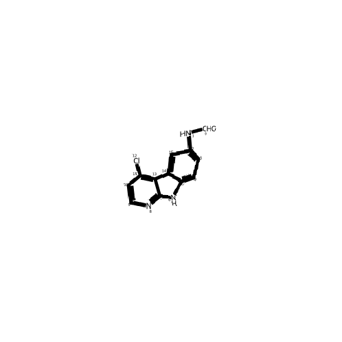 O=CNc1ccc2[nH]c3nccc(Cl)c3c2c1